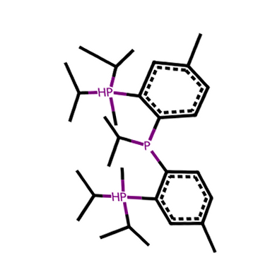 Cc1ccc(P(c2ccc(C)cc2[PH](C)(C(C)C)C(C)C)C(C)C)c([PH](C)(C(C)C)C(C)C)c1